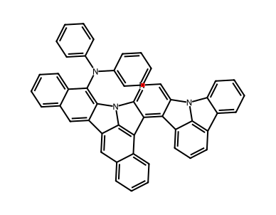 c1ccc(N(c2ccccc2)c2c3ccccc3cc3c4cc5ccccc5c5c6c7c8cccc9c%10ccccc%10n(c7cnc6n(c23)c45)c98)cc1